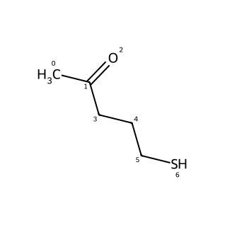 CC(=O)CCCS